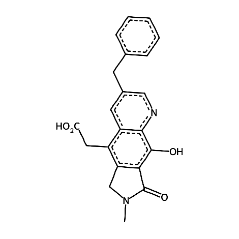 CN1Cc2c(c(O)c3ncc(Cc4ccccc4)cc3c2CC(=O)O)C1=O